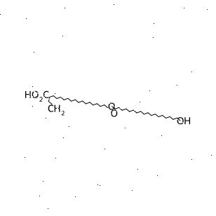 C=CCC(CCCCCCCCCCCCCCCCOC(=O)CCCCCCCCCCCCCCCCCO)C(=O)O